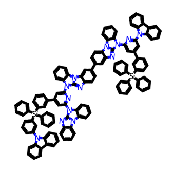 c1ccc([Si](c2ccccc2)(c2ccccc2)c2cccc(-c3cc(-n4c5ccccc5c5ccccc54)nc(-n4c5ccccc5n5c6ccc(-c7ccc8nc9n(-c%10cc(-c%11cccc([Si](c%12ccccc%12)(c%12ccccc%12)c%12cccc(-n%13c%14ccccc%14c%14ccccc%14%13)c%12)c%11)cc(-n%11c%12ccccc%12n%12c%13ccccc%13nc%11%12)n%10)c%10ccccc%10n9c8c7)cc6nc45)c3)c2)cc1